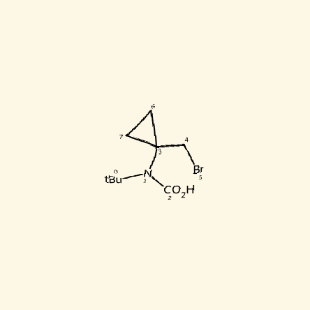 CC(C)(C)N(C(=O)O)C1(CBr)CC1